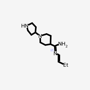 CCC=C/N=C(\N)C1CCN(C2CCNCC2)CC1